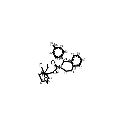 O=C(O[C@@H]1CN2CCC1(F)CC2)N1CCc2ccccc2[C@@H]1c1ccc(F)cc1